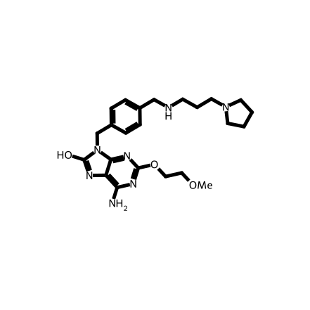 COCCOc1nc(N)c2nc(O)n(Cc3ccc(CNCCCN4CCCC4)cc3)c2n1